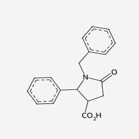 O=C(O)C1CC(=O)N(Cc2ccccc2)C1c1ccccc1